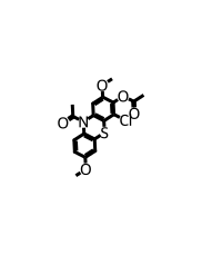 COc1ccc2c(c1)Sc1c(cc(OC)c(OC(C)=O)c1Cl)N2C(C)=O